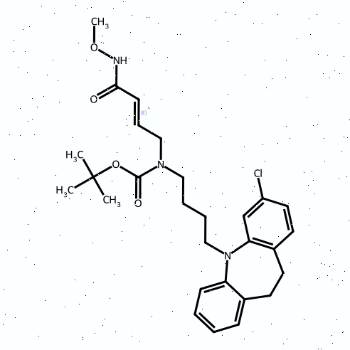 CONC(=O)/C=C/CN(CCCCN1c2ccccc2CCc2ccc(Cl)cc21)C(=O)OC(C)(C)C